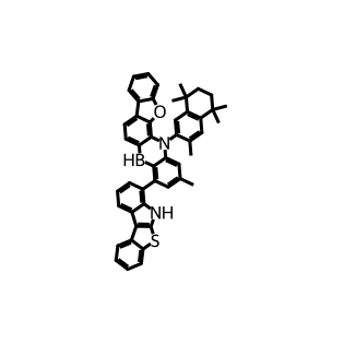 Cc1cc(-c2cccc3c2[nH]c2sc4ccccc4c23)c2c(c1)N(c1cc3c(cc1C)C(C)(C)CCC3(C)C)c1c(ccc3c1oc1ccccc13)B2